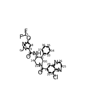 Cn1nc(OC(F)F)cc1C(=O)N[C@@H]1CCN(C(=O)c2cc(Cl)c3nccnc3c2)C[C@@H]1c1ccccc1